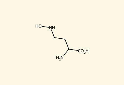 NC(CCNO)C(=O)O